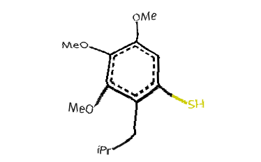 COc1cc(S)c(CC(C)C)c(OC)c1OC